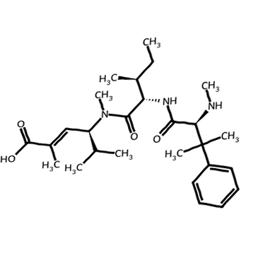 CC[C@H](C)[C@H](NC(=O)[C@@H](NC)C(C)(C)c1ccccc1)C(=O)N(C)[C@H](/C=C(\C)C(=O)O)C(C)C